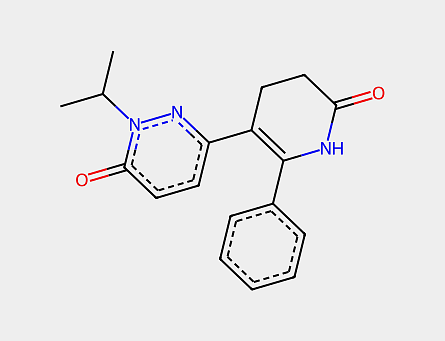 CC(C)n1nc(C2=C(c3ccccc3)NC(=O)CC2)ccc1=O